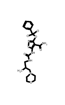 CC(CNC(=O)Nc1snc(OC(Cl)(Cl)c2ccccc2)c1C(N)=O)CN1CCOCC1